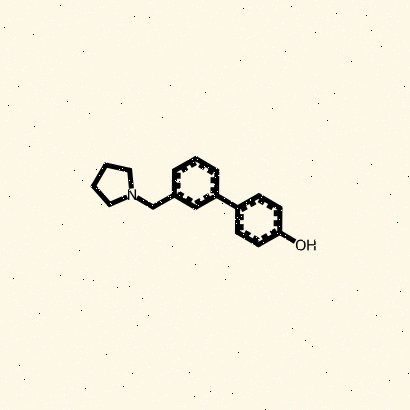 Oc1ccc(-c2cccc(CN3CCCC3)c2)cc1